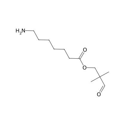 CC(C)(C=O)COC(=O)CCCCCCN